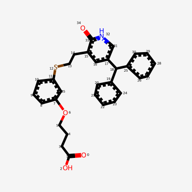 O=C(O)CCCOc1cccc(SCCc2cc(C(c3ccccc3)c3ccccc3)c[nH]c2=O)c1